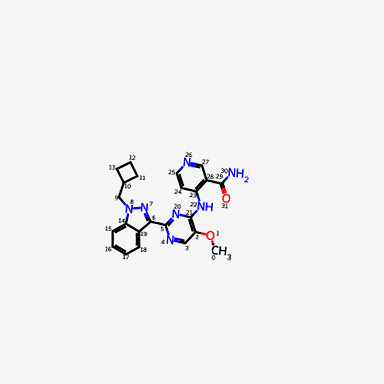 COc1cnc(-c2nn(CC3CCC3)c3ccccc23)nc1Nc1ccncc1C(N)=O